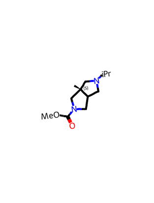 COC(=O)N1CC2CN(C(C)C)C[C@@]2(C)C1